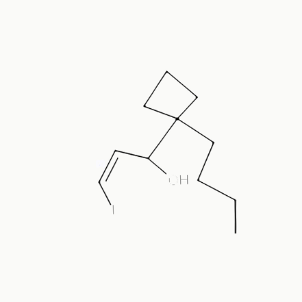 CCCCC1(C(O)/C=C\I)CCC1